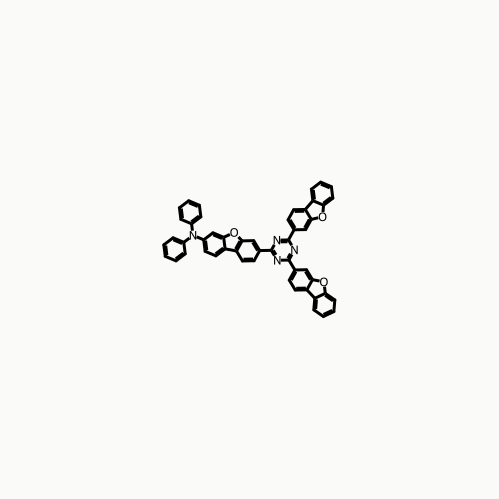 c1ccc(N(c2ccccc2)c2ccc3c(c2)oc2cc(-c4nc(-c5ccc6c(c5)oc5ccccc56)nc(-c5ccc6c(c5)oc5ccccc56)n4)ccc23)cc1